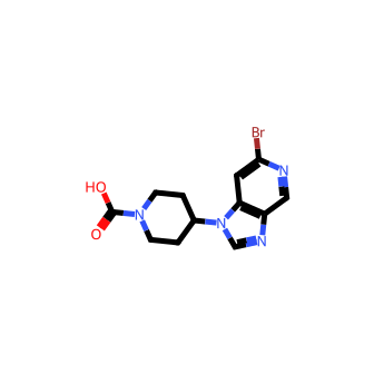 O=C(O)N1CCC(n2cnc3cnc(Br)cc32)CC1